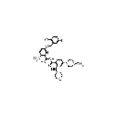 CN1CCN(c2ccc(C(=O)NC(=N)c3nc(OCc4cc(Cl)ccc4Cl)ccc3N)c(NC3CCOCC3)c2)CC1